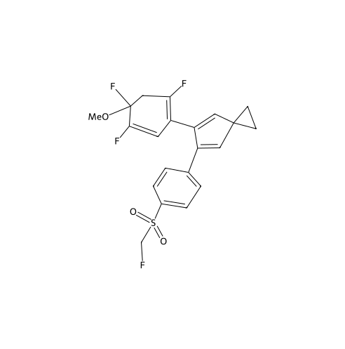 COC1(F)CC(F)=C(C2=CC3(C=C2c2ccc(S(=O)(=O)CF)cc2)CC3)C=C1F